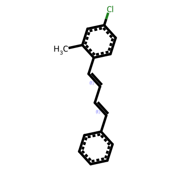 Cc1cc(Cl)ccc1/C=C/C=C/c1ccccc1